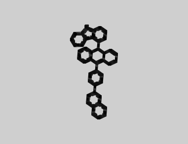 C1=CC2=C(c3ccc(-c4ccc5ccccc5c4)cc3)c3ccccc3C(c3cccc4sc5ccccc5c34)C2C=C1